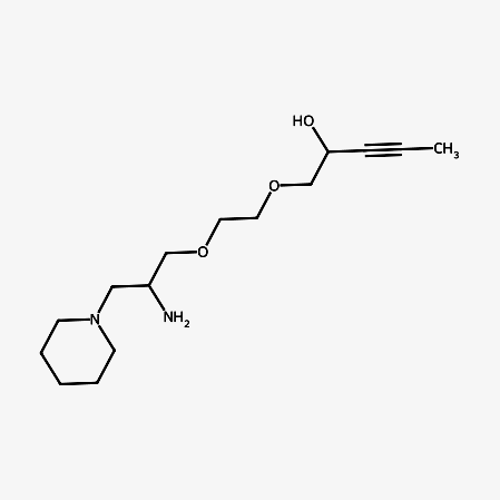 CC#CC(O)COCCOCC(N)CN1CCCCC1